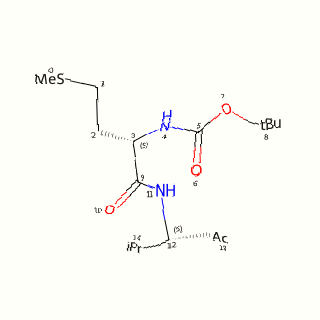 CSCC[C@H](NC(=O)OC(C)(C)C)C(=O)N[C@H](C(C)=O)C(C)C